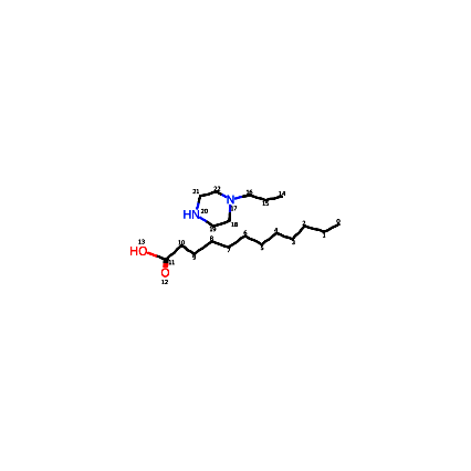 CCCCCCCCCCCC(=O)O.CCCN1CCNCC1